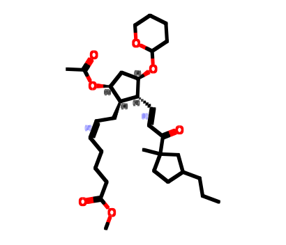 CCCC1CCC(C)(C(=O)/C=C/[C@@H]2[C@@H](C/C=C\CCCC(=O)OC)[C@@H](OC(C)=O)C[C@H]2OC2CCCCO2)C1